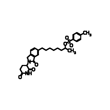 Cc1ccc(S(=O)(=O)OC(C)CCCCCCc2ccc3c(c2)C(=O)N(C2CCC(=O)NC2=O)C3)cc1